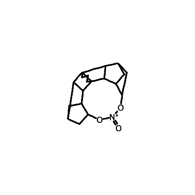 O=[N+]1OC2CC3CC2C2C3C34CCCC23C2C3CC(CC3O1)C24